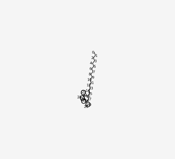 CCCCCCCCCCCCCCC=CC(CC(=O)OC)C(=O)OC